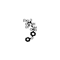 CCOP(=O)(OCC)C(=O)NCNS(=O)(=O)c1ccc(Oc2ccccc2)cc1